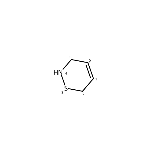 [C]1=CCSNC1